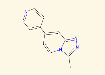 Cc1nnc2cc(-c3ccncc3)ccn12